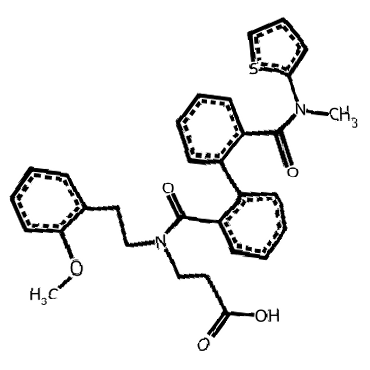 COc1ccccc1CCN(CCC(=O)O)C(=O)c1ccccc1-c1ccccc1C(=O)N(C)c1cccs1